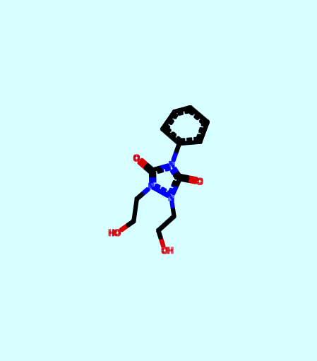 O=c1n(-c2ccccc2)c(=O)n(CCO)n1CCO